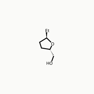 CC[C@@H]1CC[C@@H](CO)O1